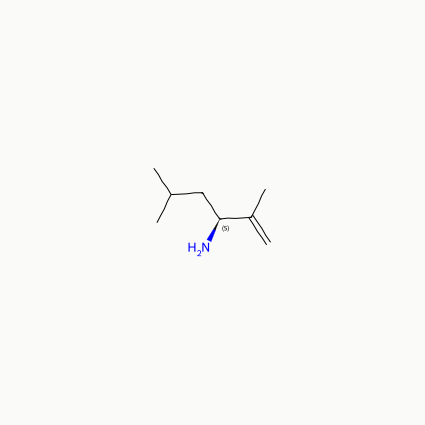 C=C(C)[C@@H](N)CC(C)C